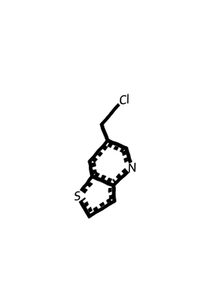 ClCc1cnc2ccsc2c1